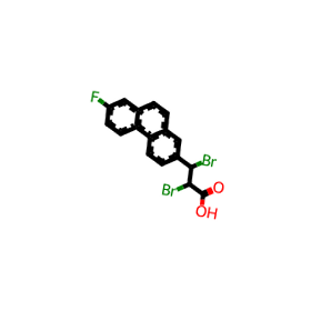 O=C(O)C(Br)C(Br)c1ccc2c(ccc3cc(F)ccc32)c1